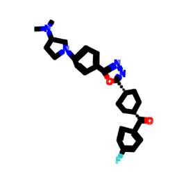 CN(C)C1CCN(c2ccc(-c3nnc([C@H]4CC[C@@H](C(=O)c5ccc(F)cc5)CC4)o3)cc2)C1